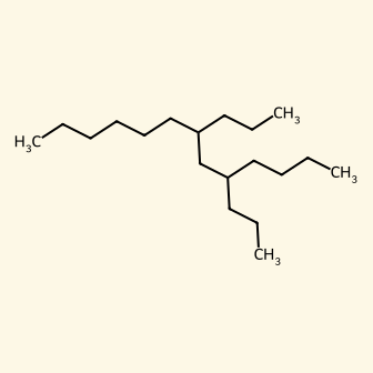 CCCCCCC(CCC)CC(CCC)CCCC